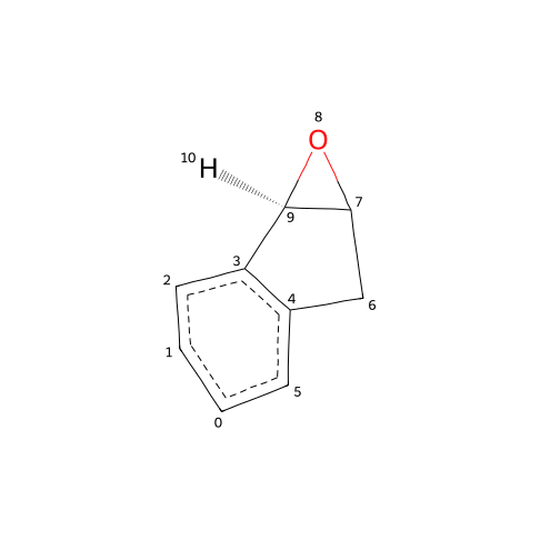 c1ccc2c(c1)CC1O[C@H]21